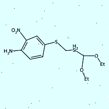 CCOC(OCC)[SiH2]CSc1ccc(N)c([N+](=O)[O-])c1